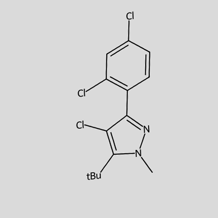 Cn1nc(-c2ccc(Cl)cc2Cl)c(Cl)c1C(C)(C)C